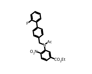 CCOC(=O)c1ccc([N+](=O)[O-])c(N(Cc2ccc(-c3ccccc3F)cc2)C(C)=O)c1